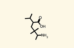 CC(C)C(CC(C)(C)C(C)N)C(=O)O